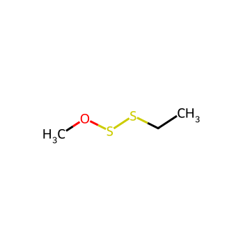 CCSSOC